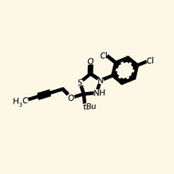 CC#CCOC1(C(C)(C)C)NN(c2ccc(Cl)cc2Cl)C(=O)S1